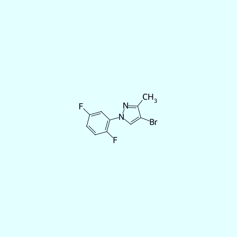 Cc1nn(-c2cc(F)ccc2F)cc1Br